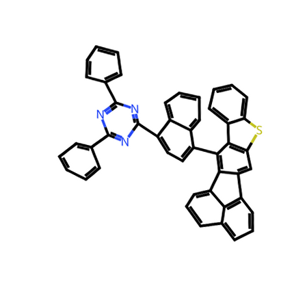 c1ccc(-c2nc(-c3ccccc3)nc(-c3ccc(-c4c5c(cc6sc7ccccc7c46)-c4cccc6cccc-5c46)c4ccccc34)n2)cc1